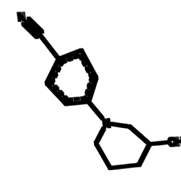 N#Cc1ccc(N2CCCC(O)C2)cc1